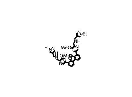 CCn1cc(CNCc2ncc(-c3cccc(-c4cccc(-c5cnc(CNCc6cnn(CC)c6)c(OC)n5)c4Cl)c3Cl)nc2OC)cn1